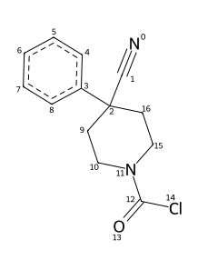 N#CC1(c2ccccc2)CCN(C(=O)Cl)CC1